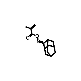 C=C(C)C(=O)ON=C1C2CC3CC(C2)CC1C3